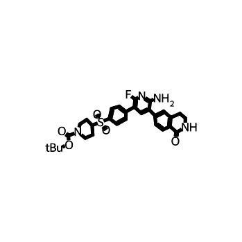 CC(C)(C)OC(=O)N1CCC(S(=O)(=O)c2ccc(-c3cc(-c4ccc5c(c4)CCNC5=O)c(N)nc3F)cc2)CC1